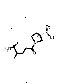 CCN(CC)[C@H]1CCN(C(=O)[CH]CC(C)C(N)=O)C1